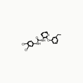 CCc1cccc(Oc2ncccc2NC(=O)Nc2ccc(Cl)c(Cl)c2)c1